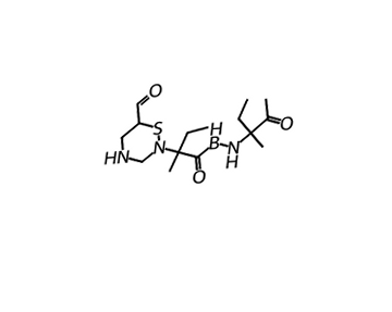 CCC(C)(NBC(=O)C(C)(CC)N1CNCC(C=O)S1)C(C)=O